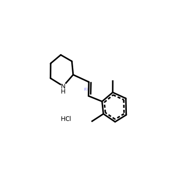 Cc1cccc(C)c1/C=C/C1CCCCN1.Cl